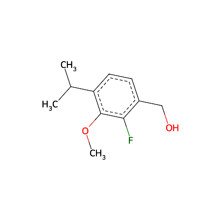 COc1c(C(C)C)ccc(CO)c1F